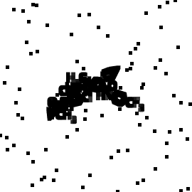 Cn1c(Nc2c(Cl)ccc(CNC(=O)C3(C)CC3)c2Cl)nc2cc(C(=O)N[C@H]3CC[C@H](C(F)(F)F)CC3)c(N3CC4CC4C3)cc21